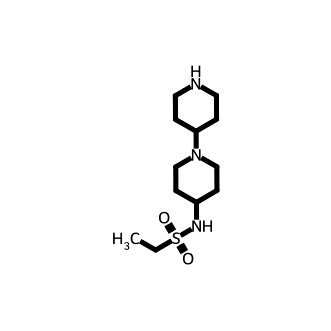 CCS(=O)(=O)NC1CCN(C2CCNCC2)CC1